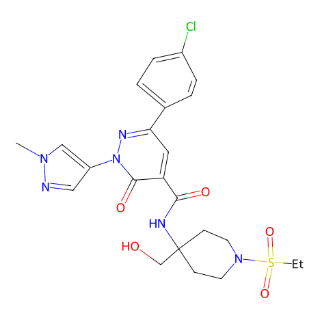 CCS(=O)(=O)N1CCC(CO)(NC(=O)c2cc(-c3ccc(Cl)cc3)nn(-c3cnn(C)c3)c2=O)CC1